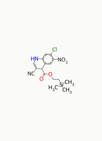 C[Si](C)(C)CCOC(=O)C1C(C#N)=CNc2cc(Cl)c([N+](=O)[O-])cc21